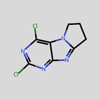 Clc1nc(Cl)c2c(n1)nc1n2CCC1